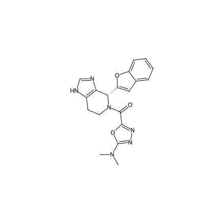 CN(C)c1nnc(C(=O)N2CCc3[nH]cnc3[C@@H]2c2cc3ccccc3o2)o1